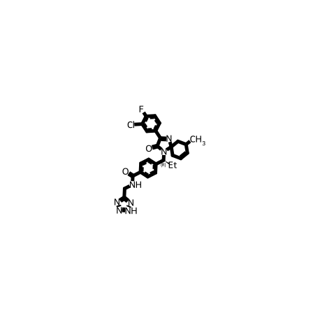 CC[C@H](c1ccc(C(=O)NCc2nn[nH]n2)cc1)N1C(=O)C(c2ccc(F)c(Cl)c2)=NC12CC=CC(C)C2